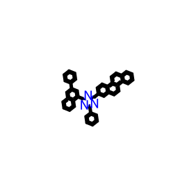 c1ccc(-c2cc(-c3nc(-c4ccccc4)nc(-c4ccc5c(ccc6c7ccccc7ccc56)c4)n3)c3ccccc3c2)cc1